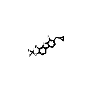 Fc1c(CC2CC2)ccc2c1sc1c(F)c(OC(F)(F)F)ccc12